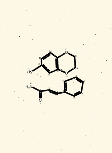 NC(=O)C=Cc1ccccc1.Sc1ccc2c(c1)OCCO2